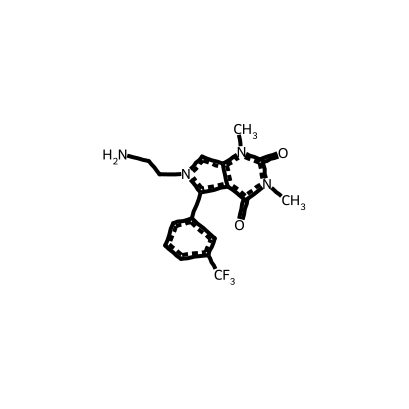 Cn1c(=O)c2c(-c3cccc(C(F)(F)F)c3)n(CCN)cc2n(C)c1=O